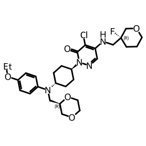 CCOc1ccc(N(C[C@@H]2COCCO2)[C@H]2CC[C@H](n3ncc(NC[C@]4(F)CCCOC4)c(Cl)c3=O)CC2)cc1